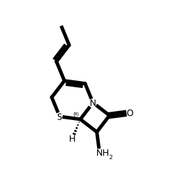 CC=CC1=CN2C(=O)C(N)[C@H]2SC1